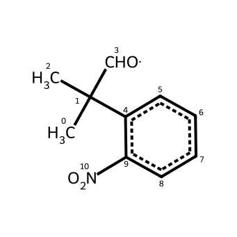 CC(C)([C]=O)c1ccccc1[N+](=O)[O-]